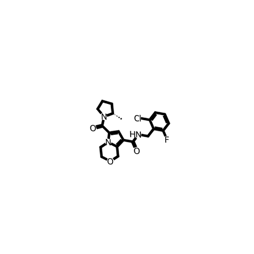 C[C@H]1CCCN1C(=O)c1cc(C(=O)NCc2c(F)cccc2Cl)c2n1CCOC2